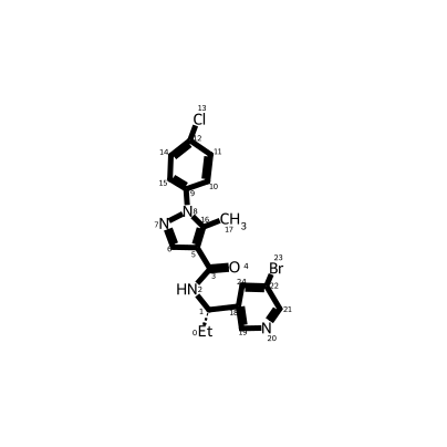 CC[C@H](NC(=O)c1cnn(-c2ccc(Cl)cc2)c1C)c1cncc(Br)c1